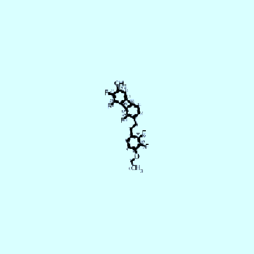 CCOc1ccc(CCc2ccc3c(c2F)-c2c-3cc(C)c(F)c2F)c(F)c1F